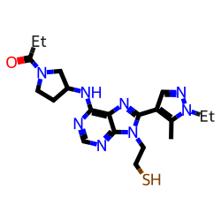 CCC(=O)N1CCC(Nc2ncnc3c2nc(-c2cnn(CC)c2C)n3CCS)C1